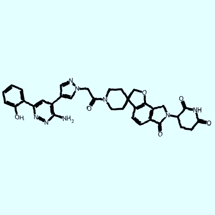 Nc1nnc(-c2ccccc2O)cc1-c1cnn(CC(=O)N2CCC3(CC2)COc2c3ccc3c2CN(C2CCC(=O)NC2=O)C3=O)c1